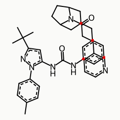 Cc1ccc(-n2nc(C(C)(C)C)cc2NC(=O)Nc2cccc(CC3CC4CCC(C3)N4C(=O)CCc3cccnc3)c2)cc1